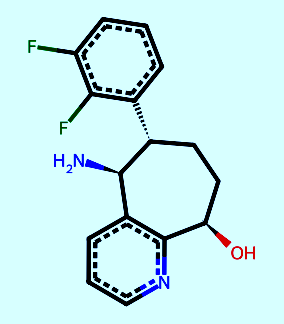 N[C@@H]1c2cccnc2[C@H](O)CC[C@H]1c1cccc(F)c1F